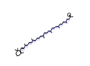 CC(=O)/C=C/C(C)=C/C=C/C(C)=C/C=C/C(C)=C/C=C/C(C)=C/C=C/C=C(C)/C=C/C=C(C)/C=C/C1=C(C)CCCC1(C)C